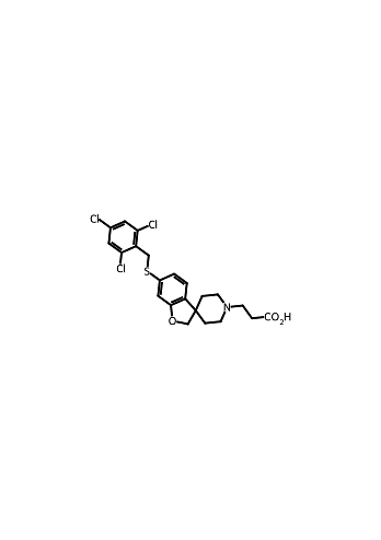 O=C(O)CCN1CCC2(CC1)COc1cc(SCc3c(Cl)cc(Cl)cc3Cl)ccc12